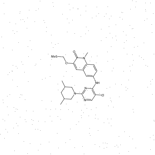 CSCOc1cc2cc(Nc3nc(N4CC(C)CC(C)C4)ncc3Cl)ccc2n(C)c1=O